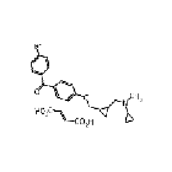 CN(CC1CC1COc1ccc(C(=O)c2ccc(Br)cc2)cc1)C1CC1.O=C(O)C=CC(=O)O